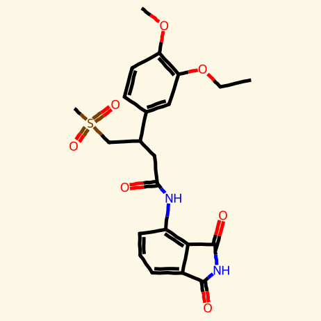 CCOc1cc(C(CC(=O)Nc2cccc3c2C(=O)NC3=O)CS(C)(=O)=O)ccc1OC